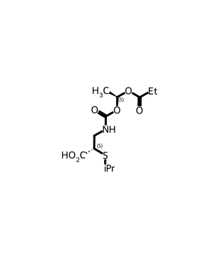 CCC(=O)O[C@H](C)OC(=O)NC[C@H](SC(C)C)C(=O)O